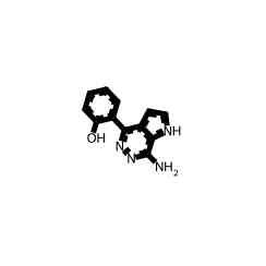 Nc1nnc(-c2ccccc2O)c2cc[nH]c12